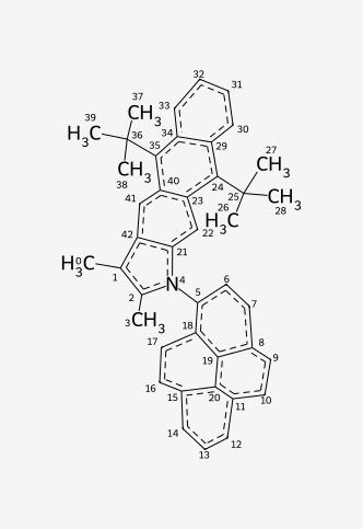 Cc1c(C)n(-c2ccc3ccc4cccc5ccc2c3c45)c2cc3c(C(C)(C)C)c4ccccc4c(C(C)(C)C)c3cc12